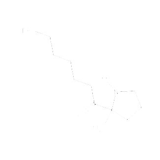 CCCCCCCCCCCCCCCC(=O)C1(C(=O)O)CCCN1O